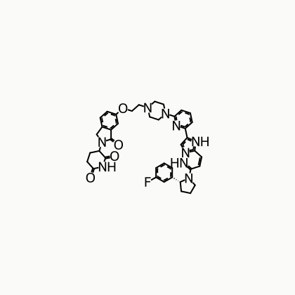 N=C(/C=C\c1ncc(-c2cccc(N3CCN(CCOc4ccc5c(c4)C(=O)N(C4CCC(=O)NC4=O)C5)CC3)n2)[nH]1)N1CCC[C@@H]1c1cccc(F)c1